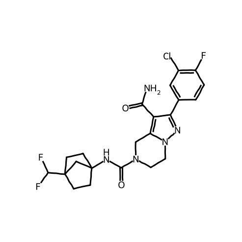 NC(=O)c1c(-c2ccc(F)c(Cl)c2)nn2c1CN(C(=O)NC13CCC(C(F)F)(CC1)C3)CC2